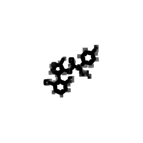 Cc1onc(-c2c(Cl)cccc2Cl)c1OC(=O)N(N)c1ccc(F)cc1